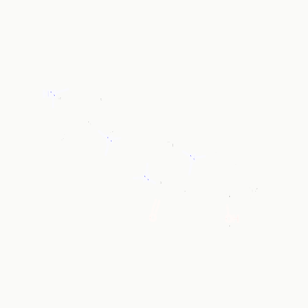 CCN1CCC(O)(OC(C)=O)CC1C(=O)N1CCN(C2CCNCC2)CC1